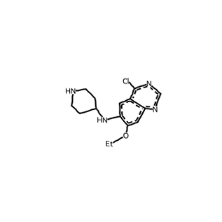 CCOc1cc2ncnc(Cl)c2cc1NC1CCNCC1